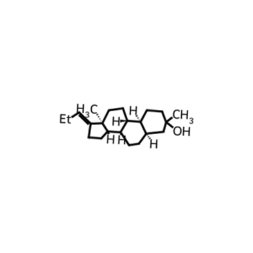 CCC=C1CC[C@H]2[C@@H]3CC[C@@H]4CC(C)(O)CC[C@@H]4[C@H]3CC[C@]12C